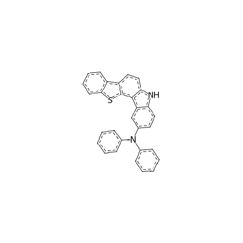 c1ccc(N(c2ccccc2)c2ccc3[nH]c4ccc5c6ccccc6sc5c4c3c2)cc1